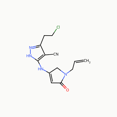 C=CCN1CC(Nc2[nH]nc(CCCl)c2C#N)=CC1=O